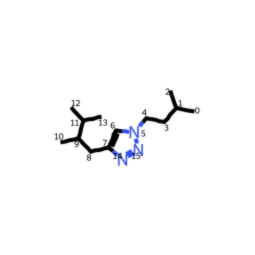 CC(C)CCn1cc(CC(C)C(C)C)nn1